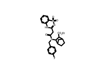 CCOC(=O)C1C2CCC(C2)C1N(Cc1ccc(F)cc1)C(=O)CC1=NS(=O)(=O)c2ccccc2N1